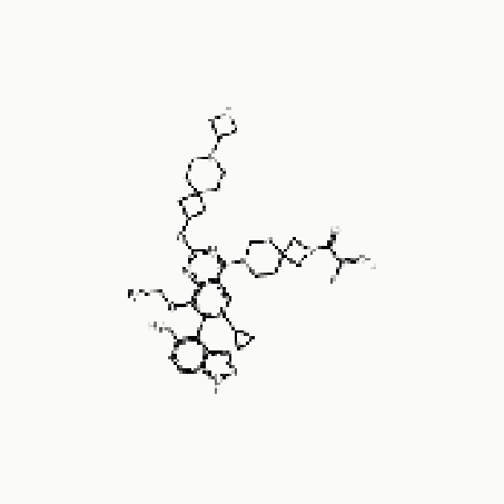 C=C(F)C(=O)N1CC2(CCN(c3nc(OC4CC5(CCN(C6COC6)CC5)C4)nc4c(OCC(F)(F)F)c(-c5c(C)ccc6[nH]ncc56)c(C5CC5)cc34)CC2)C1